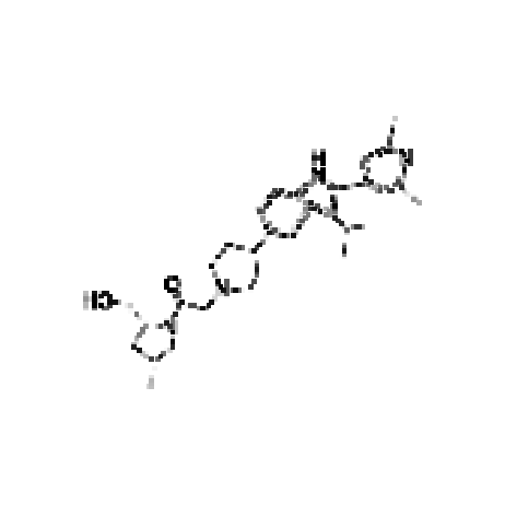 Cc1cc(-c2[nH]c3ccc(C4CCN(CC(=O)N5C[C@H](C)C[C@@H]5CO)CC4)cc3c2C(C)C)cc(C)n1